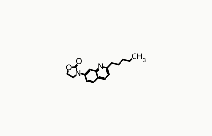 CCCCCc1ccc2ccc(N3CCOC3=O)cc2n1